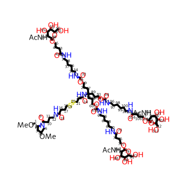 COC[C@H]1C[C@H](OC)CN1C(=O)CCCNC(=O)CCCSSCCC(=O)NC(CCCOC(=O)NCCCCCCNC(=O)CCCOC1OC(CO)C(O)C(O)C1NC(C)=O)(CCCOC(=O)NCCCCCCNC(=O)CCCOC1OC(CO)C(O)C(O)C1NC(C)=O)CCCOC(=O)NCCCCCCNC(=O)CCCOC1OC(CO)C(O)C(O)C1NC(C)=O